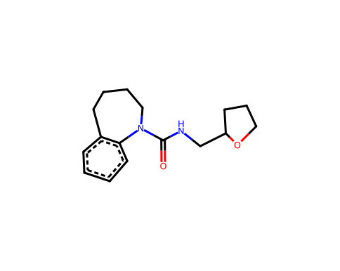 O=C(NCC1CCCO1)N1CCCCc2ccccc21